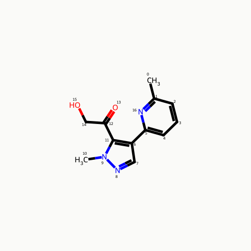 Cc1cccc(-c2cnn(C)c2C(=O)CO)n1